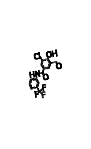 O=Cc1cc(C(=O)Nc2cccc(C(F)(F)F)c2)cc(Cl)c1O